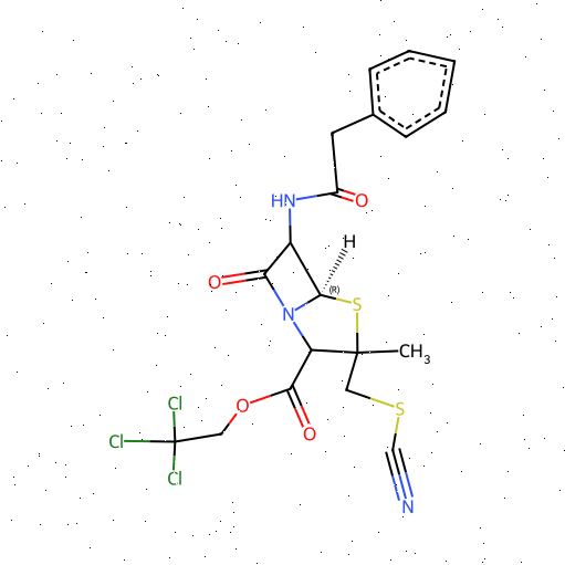 CC1(CSC#N)S[C@@H]2C(NC(=O)Cc3ccccc3)C(=O)N2C1C(=O)OCC(Cl)(Cl)Cl